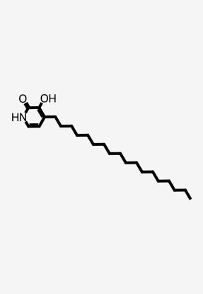 CCCCCCCCCCCCCCCCCCc1cc[nH]c(=O)c1O